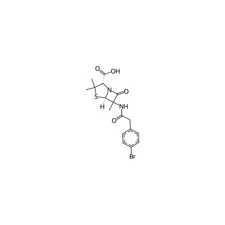 CC1(C)S[C@H]2N(C(=O)C2(C)NC(=O)Cc2ccc(Br)cc2)[C@H]1C(=O)O